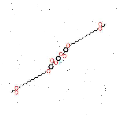 C=CC(=O)OCCCCCCCCCCCCCCCCOc1ccc(C(=O)Oc2ccc(OC(=O)c3ccc(OCCCCCCCCCCCCCCCCOC(=O)C=C)cc3)c(F)c2)cc1